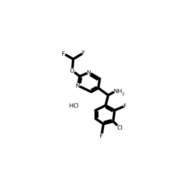 Cl.NC(c1cnc(OC(F)F)nc1)c1ccc(F)c(Cl)c1F